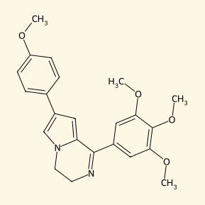 COc1ccc(-c2cc3n(c2)CCN=C3c2cc(OC)c(OC)c(OC)c2)cc1